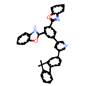 CC1(C)c2ccccc2-c2ccc(-c3cncc(-c4cc(-c5nc6ccccc6o5)cc(C5Nc6ccccc6O5)c4)c3)cc21